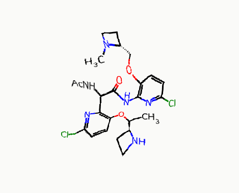 CC(=O)NC(C(=O)Nc1nc(Cl)ccc1OC[C@H]1CCN1C)c1nc(Cl)ccc1OC(C)[C@@H]1CCN1